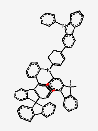 CC1(C)c2ccccc2-c2ccc(N(C3=CC=C(c4ccc5c6ccccc6n(-c6ccccc6)c5c4)CC3)c3ccccc3C3=C=C=CC4=C3c3ccccc3C43c4ccccc4-c4ccccc43)cc21